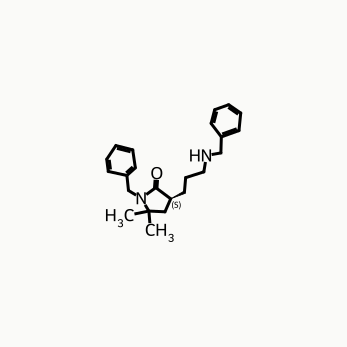 CC1(C)C[C@H](CCCNCc2ccccc2)C(=O)N1Cc1ccccc1